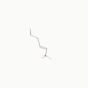 COC(=O)C=CCCBr